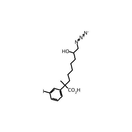 CC(CCCCCC(O)CN=[N+]=[N-])(C(=O)O)c1cccc(I)c1